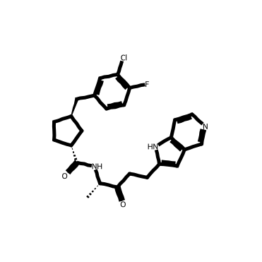 C[C@H](NC(=O)[C@@H]1CC[C@@H](Cc2ccc(F)c(Cl)c2)C1)C(=O)CCc1cc2cnccc2[nH]1